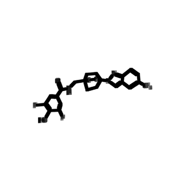 O=C(NCC12CCC(n3cc4cc(C(F)(F)F)ccc4n3)(CC1)CC2)c1cc(F)c(O)c(F)c1